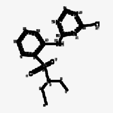 CCN(CC)S(=O)(=O)c1ccccc1Nc1ncnc(Cl)n1